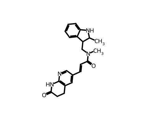 CC1Nc2ccccc2C1CN(C)C(=O)/C=C/c1cnc2c(c1)CCC(=O)N2